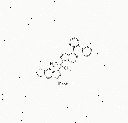 CCCC(C)C1=CC([Si](C)(C)C2C=Cc3c(-c4ccccc4-c4ccccc4)cccc32)c2cc3c(cc21)CCC3